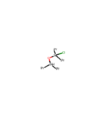 CC(C)[SiH](O[Si](Cl)(C(C)C)C(C)C)C(C)C